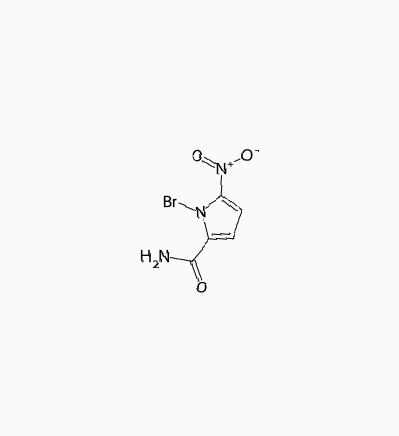 NC(=O)c1ccc([N+](=O)[O-])n1Br